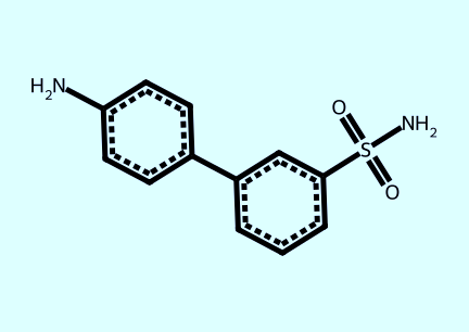 Nc1ccc(-c2cccc(S(N)(=O)=O)c2)cc1